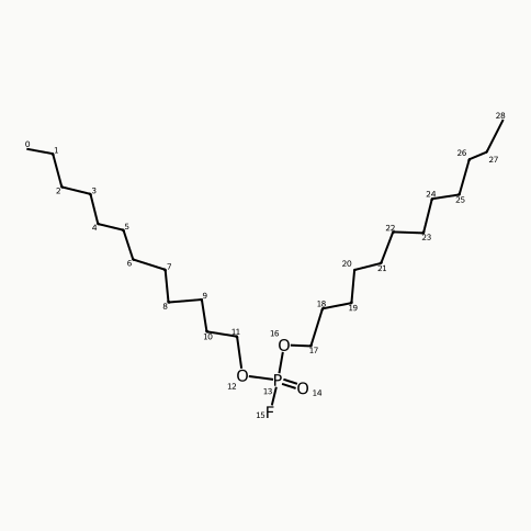 CCCCCCCCCCCCOP(=O)(F)OCCCCCCCCCCCC